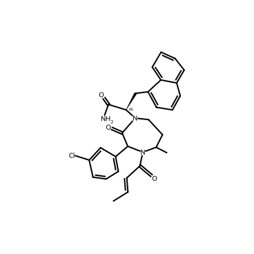 CC=CC(=O)N1C(C)CCN([C@H](Cc2cccc3ccccc23)C(N)=O)C(=O)C1c1cccc(Cl)c1